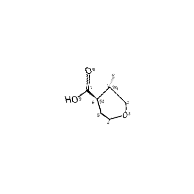 C[C@@H]1COCC[C@H]1C(=O)O